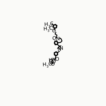 Cc1cccc(OCCCC(=O)N2CCCCc3c(-c4cnn(Cc5cccc(C(=O)NOS(C)(=O)=O)c5)c4)cccc32)c1C